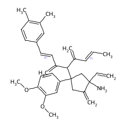 C=CC1(N)CC(c2ccc(OC)c(OC)c2)(C(C(=C)/C=C/C)C(=C)/C=C/c2ccc(C)c(C)c2)CC1=C